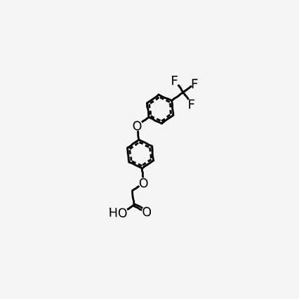 O=C(O)COc1ccc(Oc2ccc(C(F)(F)F)cc2)cc1